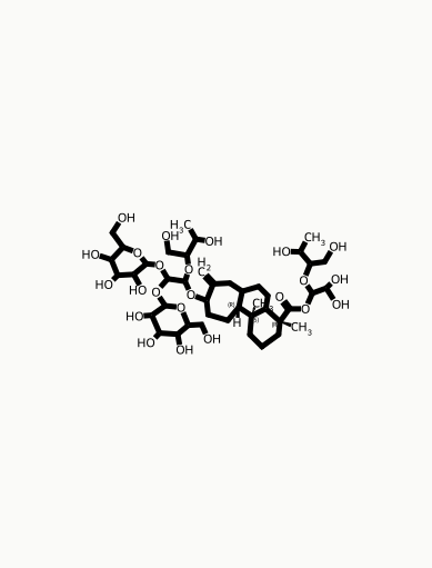 C=C1CC2CCC3[C@](C)(C(=O)OC(OC(CO)C(C)O)C(O)O)CCC[C@@]3(C)[C@@H]2CCC1OC(OC(CO)C(C)O)C(OC1OC(CO)C(O)C(O)C1O)OC1OC(CO)C(O)C(O)C1O